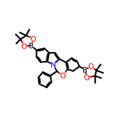 CC1(C)OB(c2ccc3c(c2)cc2n3C(c3ccccc3)OC3=C2C=CC(B2OC(C)(C)C(C)(C)O2)C3)OC1(C)C